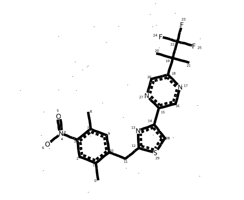 Cc1cc([N+](=O)[O-])c(C)cc1Cc1nc(-c2cnc(C(C)(C)C(F)(F)F)cn2)cs1